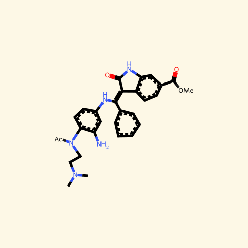 COC(=O)c1ccc2c(c1)NC(=O)/C2=C(\Nc1ccc(N(CCN(C)C)C(C)=O)c(N)c1)c1ccccc1